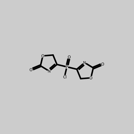 O=C1N=C(P(=O)(Cl)C2=NC(=O)OC2)CO1